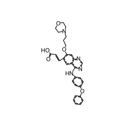 O=C(O)C=Cc1cc2c(Nc3ccc(Oc4ccccc4)cc3)ncnc2cc1OCCCN1CCOCC1